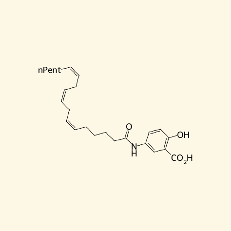 CCCCC/C=C\C/C=C\C/C=C\CCCCC(=O)Nc1ccc(O)c(C(=O)O)c1